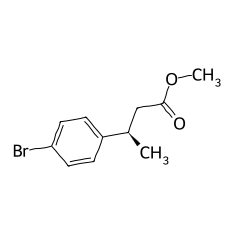 COC(=O)C[C@@H](C)c1ccc(Br)cc1